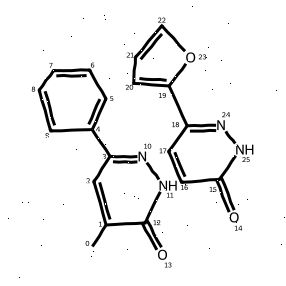 Cc1cc(-c2ccccc2)n[nH]c1=O.O=c1ccc(-c2ccco2)n[nH]1